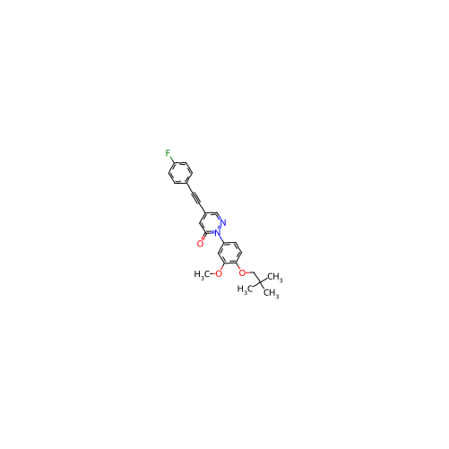 COc1cc(-n2ncc(C#Cc3ccc(F)cc3)cc2=O)ccc1OCC(C)(C)C